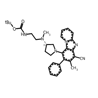 Cc1c(-c2ccccc2)c(N2CC[C@H](N(C)CCNC(=O)OC(C)(C)C)C2)c2c(nc3ccccn32)c1C#N